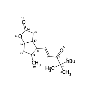 CCCCC(C)(C)C(=O)/C=C/C1C(C)CC2OC(=O)CC21